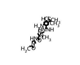 C=CC(=O)N1CC(NC(=O)c2cnc(CNC(=N)c3cc(C(C)(C)C)c(Cl)cc3N)n2C)C1